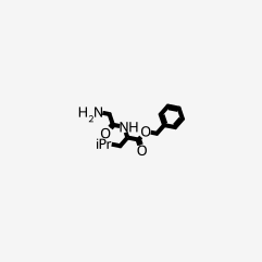 CC(C)CC(NC(=O)CN)C(=O)OCc1ccccc1